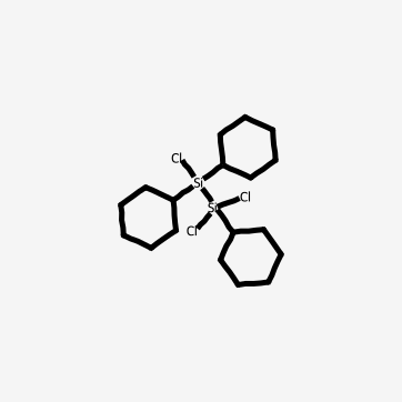 Cl[Si](Cl)(C1CCCCC1)[Si](Cl)(C1CCCCC1)C1CCCCC1